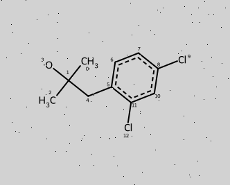 CC(C)([O])Cc1ccc(Cl)cc1Cl